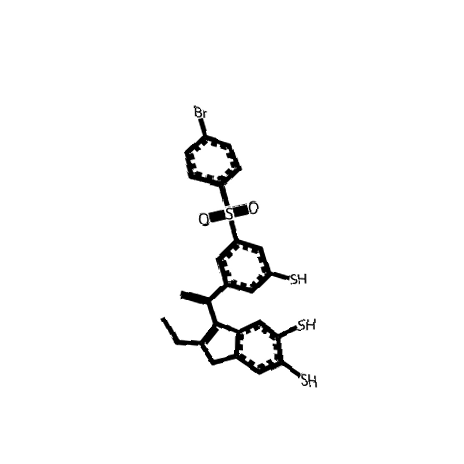 C=C(C1=C(CC)Cc2cc(S)c(S)cc21)c1cc(S)cc(S(=O)(=O)c2ccc(Br)cc2)c1